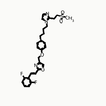 CS(=O)(=O)CCc1nccn1CCCCc1ccc(OCc2coc(C=Cc3c(F)cccc3F)n2)cc1